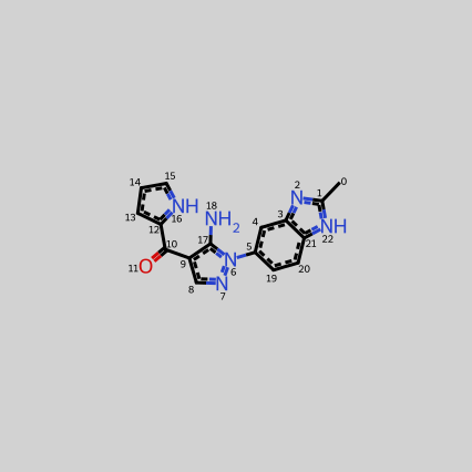 Cc1nc2cc(-n3ncc(C(=O)c4ccc[nH]4)c3N)ccc2[nH]1